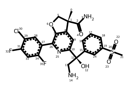 C[C@]1(C(N)=O)COc2c1cc([C@@](O)(CN)c1cccc(S(C)(=O)=O)c1)nc2-c1cc(Cl)c(F)cc1F